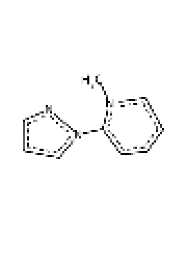 C[n+]1ccccc1-n1cccn1.[I-]